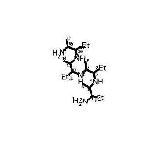 CCC(N)C(C)NC(CC)C(C)NC(CC)C(C)NC(CC)C(C)N